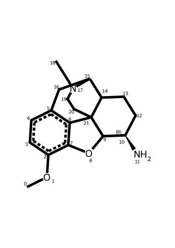 COc1ccc2c3c1OC1[C@H](N)CCC4C(C2)N(C)CCC341